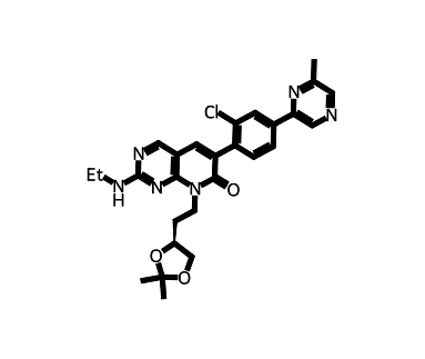 CCNc1ncc2cc(-c3ccc(-c4cncc(C)n4)cc3Cl)c(=O)n(CC[C@H]3COC(C)(C)O3)c2n1